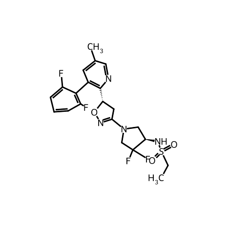 CCS(=O)(=O)N[C@@H]1CN(C2=NO[C@H](c3ncc(C)cc3-c3c(F)cccc3F)C2)CC1(F)F